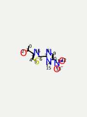 CC(=O)c1csc(-c2ncc([N+](=O)[O-])n2C)n1